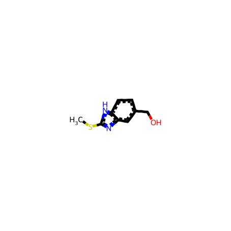 CSc1nc2cc(CO)ccc2[nH]1